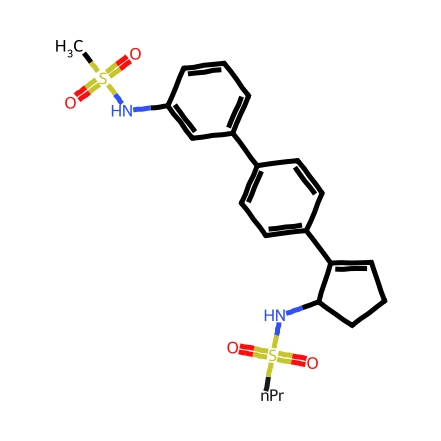 CCCS(=O)(=O)NC1CCC=C1c1ccc(-c2cccc(NS(C)(=O)=O)c2)cc1